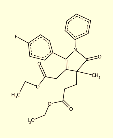 CCOC(=O)CCC1(C)C(=O)N(c2ccccc2)C(c2ccc(F)cc2)=C1CC(=O)OCC